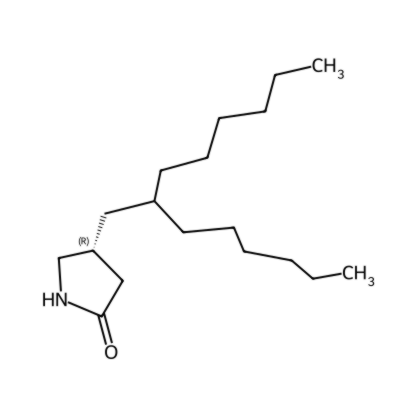 CCCCCCC(CCCCCC)C[C@H]1CNC(=O)C1